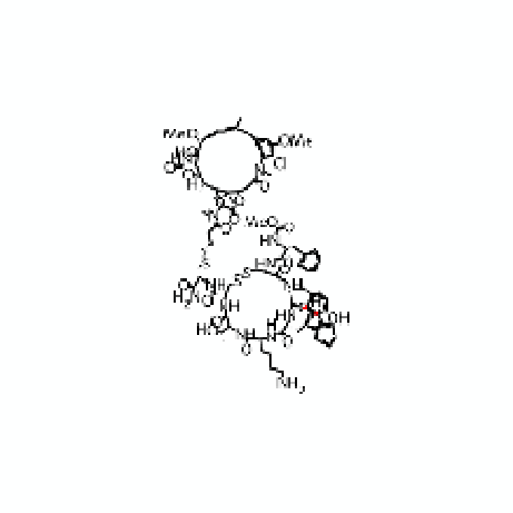 COC(=O)N[C@H](Cc1ccccc1)C(=O)N[C@H]1CSSC[C@@H](C(=O)N[C@@H](CSSCCC(=O)N(C)[C@@H](C)C(=O)O[C@H]2CC(=O)N(C)c3cc(cc(OC)c3Cl)C/C(C)=C/C=C/[C@@H](OC)[C@@]3(O)C[C@H](OC(=O)N3)[C@@H](C)C3O[C@]32C)C(N)=O)NC(=O)[C@H]([C@@H](C)O)NC(=O)[C@H](CCCCN)NC(=O)[C@@H](Cc2c[nH]c3ccccc23)NC(=O)[C@H](Cc2ccc(O)cc2)NC1=O